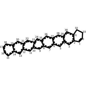 C1=Cc2cc3cc4cc5cc6cc7cc8ccccc8cc7cc6cc5cc4cc3cc2CC1